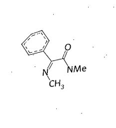 C/N=C(\C(=O)NC)c1ccccc1